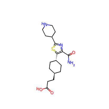 NC(=O)c1nc(C2CCNCC2)sc1[C@H]1CC[C@H](CCC(=O)O)CC1